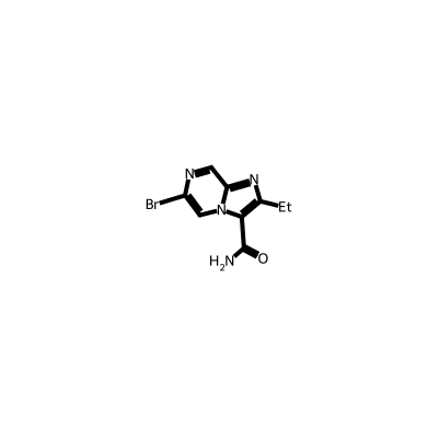 CCc1nc2cnc(Br)cn2c1C(N)=O